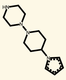 c1ccn(C2CCN(N3CCNCC3)CC2)c1